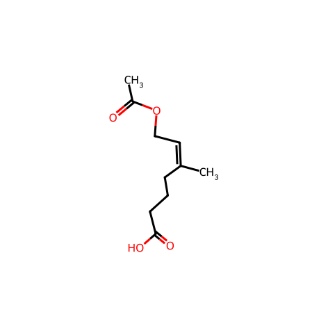 CC(=O)OC/C=C(/C)CCCC(=O)O